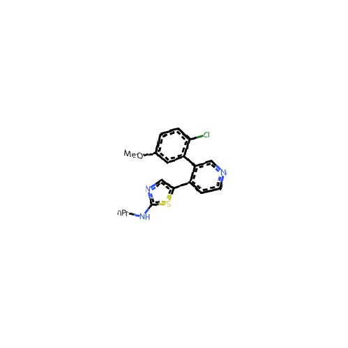 CCCNc1ncc(-c2ccncc2-c2cc(OC)ccc2Cl)s1